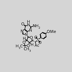 COc1ccc(S(=O)(=O)C(C(C)=O)[C@H]2O[C@@H](n3cnc4c(=O)[nH]c(N)nc43)[C@@H]3OC(C)(C)O[C@@H]32)cc1